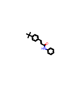 CC(C)(C)c1ccc(/C=C/C(=O)Nc2ccccc2)cc1